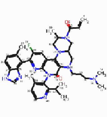 C=CC(=O)N1CC2CN(CCCN(C)C)c3c(c4cc(F)c(-c5c(C)ccc6[nH]cnc56)nc4n(-c4c(C)ccnc4C(C)C)c3=O)N2CC1C